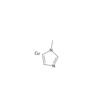 Cn1ccnc1.[Cu]